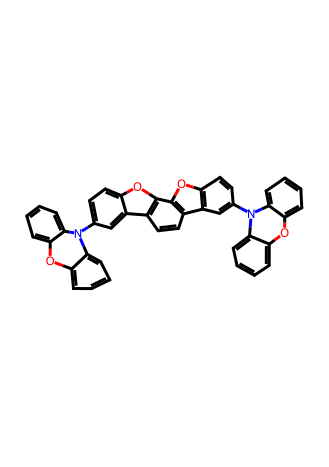 c1ccc2c(c1)Oc1ccccc1N2c1ccc2oc3c(ccc4c5cc(N6c7ccccc7Oc7ccccc76)ccc5oc43)c2c1